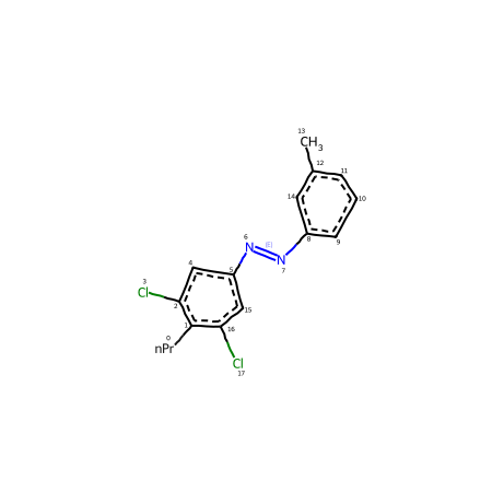 CCCc1c(Cl)cc(/N=N/c2cccc(C)c2)cc1Cl